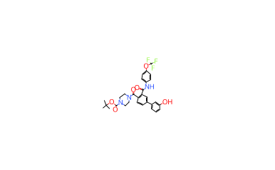 CC(C)(C)OC(=O)N1CCN(C(=O)c2ccc(-c3cccc(O)c3)cc2C(=O)Nc2ccc(OC(F)(F)F)cc2)CC1